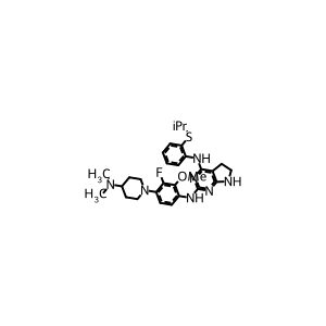 COc1c(Nc2nc3c(c(Nc4ccccc4SC(C)C)n2)CCN3)ccc(N2CCC(N(C)C)CC2)c1F